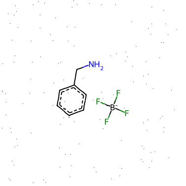 F[B-](F)(F)F.NCc1cc[c]cc1